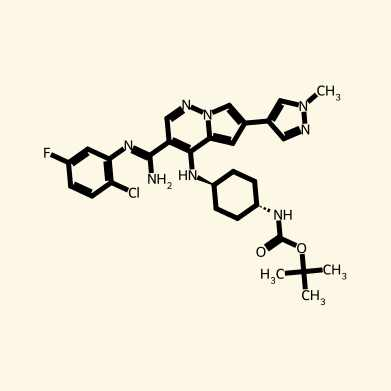 Cn1cc(-c2cc3c(N[C@H]4CC[C@H](NC(=O)OC(C)(C)C)CC4)c(/C(N)=N/c4cc(F)ccc4Cl)cnn3c2)cn1